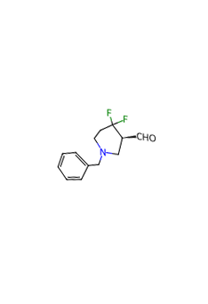 O=C[C@H]1CN(Cc2ccccc2)CCC1(F)F